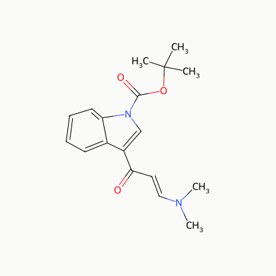 CN(C)/C=C/C(=O)c1cn(C(=O)OC(C)(C)C)c2ccccc12